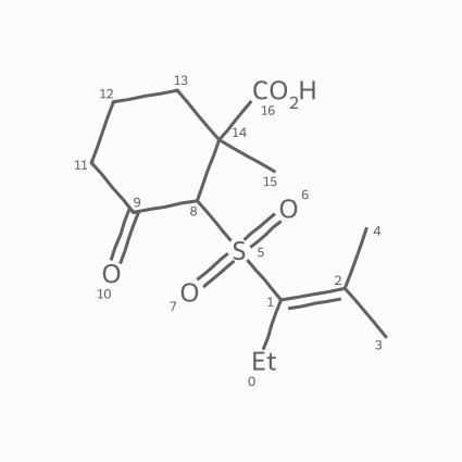 CCC(=C(C)C)S(=O)(=O)C1C(=O)CCCC1(C)C(=O)O